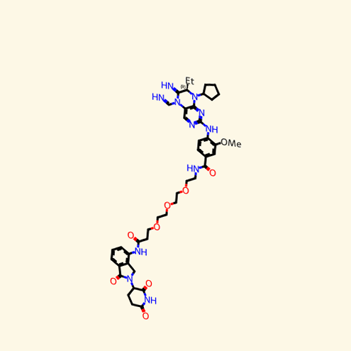 CC[C@@H]1C(=N)N(C=N)c2cnc(Nc3ccc(C(=O)NCCOCCOCCOCCC(=O)Nc4cccc5c4CN(C4CCC(=O)NC4=O)C5=O)cc3OC)nc2N1C1CCCC1